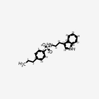 CCCc1ccc(S(=O)(=O)NCCc2c[nH]c3ccccc23)cc1